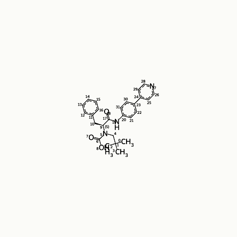 CC(C)(C)CN(C(=O)O)[C@@H](Cc1ccccc1)C(=O)Nc1ccc(-c2ccncc2)cc1